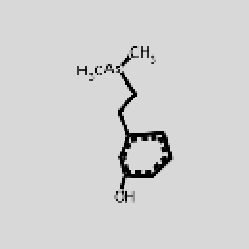 C[As](C)CCc1cccc(O)c1